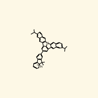 CC(C)c1ccc2cc3c(cc2c1)c1cc(-c2ccc4c(c2)C(C)(C)[C@@H]2CC=CC=C42)cc2c4cc5cc(C(C)C)ccc5cc4n3c12